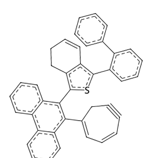 C1#CCC(c2c(-c3sc(-c4ccccc4-c4ccccc4)c4c3CCC=C4)c3ccccc3c3ccccc23)=CC=C1